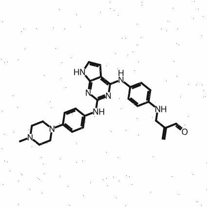 C=C(C=O)CNc1ccc(Nc2nc(Nc3ccc(N4CCN(C)CC4)cc3)nc3[nH]ccc23)cc1